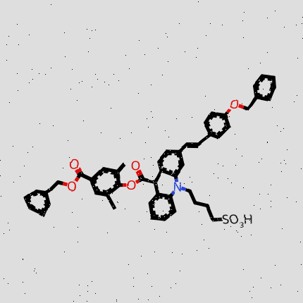 Cc1cc(C(=O)OCc2ccccc2)cc(C)c1OC(=O)C1c2ccccc2N(CCCCS(=O)(=O)O)c2cc(C=Cc3ccc(OCc4ccccc4)cc3)ccc21